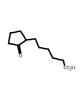 CCOC(=O)CCCCCC1CCCC1=O